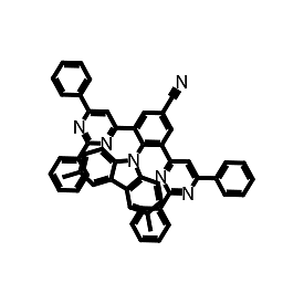 Cc1ccc2c(c1)c1cc(C)ccc1n2-c1c(-c2cc(-c3ccccc3)nc(-c3ccccc3)n2)cc(C#N)cc1-c1cc(-c2ccccc2)nc(-c2ccccc2)n1